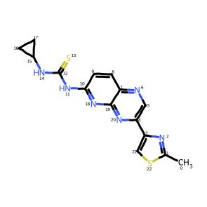 Cc1nc(-c2cnc3ccc(NC(=S)NC4CC4)nc3n2)cs1